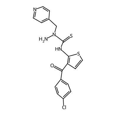 NN(Cc1ccncc1)C(=S)Nc1sccc1C(=O)c1ccc(Cl)cc1